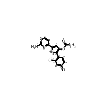 NC(=O)Oc1cc(-c2ccnc(N)n2)[nH]c1-c1ccc(Cl)cc1Cl